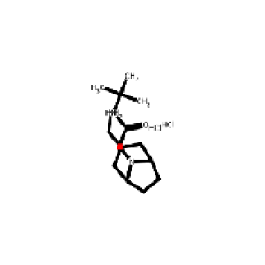 CC(C)(C)NC(=O)CN1C2CCC1CC(CN)C2.Cl.Cl